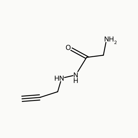 C#CCNNC(=O)CN